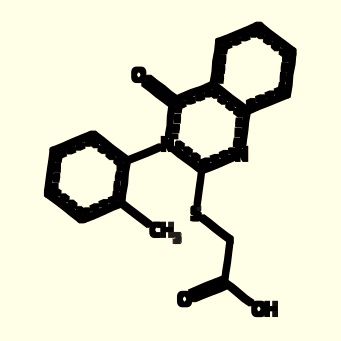 Cc1ccccc1-n1c(SCC(=O)O)nc2ccccc2c1=O